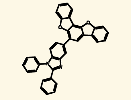 c1ccc(-c2nc3cc(-c4cc5c6ccccc6oc5c5c4oc4ccccc45)ccc3n2-c2ccccc2)cc1